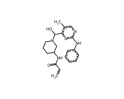 C=CC(=O)NC1CCCN(C(O)c2nc(Nc3ccccc3)ncc2C)C1